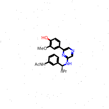 CCC[C@H](Nc1cncc(-c2ccc(O)c(OC)c2)n1)c1cccc(NC(C)=O)c1